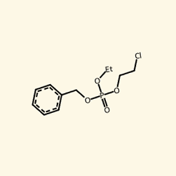 CCOP(=O)(OCCCl)OCc1ccccc1